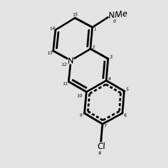 CNC1=C2C=c3ccc(Cl)cc3=CN2C=CC1